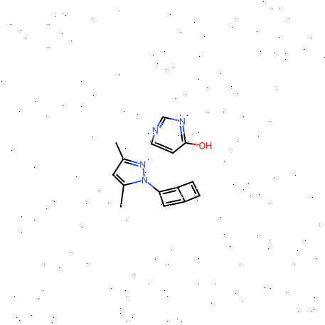 Cc1cc(C)n(-c2cc3ccc2-3)n1.Oc1ccncn1